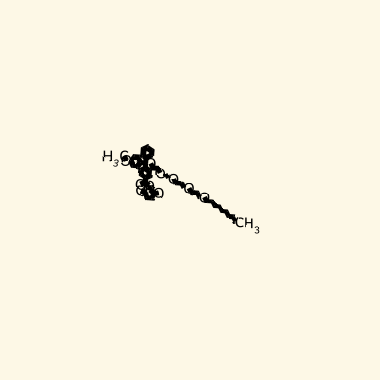 CCCCCCCCCCOCCCOCCCOCCOCCOC(c1ccccc1)(c1ccc(OC)cc1)c1ccc(C(=O)ON2C(=O)CCC2=O)cc1